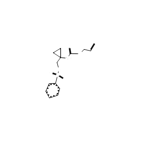 C=CCOC(=O)NC1(COS(=O)(=O)c2ccccc2)CC1